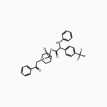 O=C(C[N+]12CCC(CC1)[C@@H](OC(=O)C(Nc1ccccc1)c1ccc(C(F)(F)F)cc1)C2)c1ccccc1